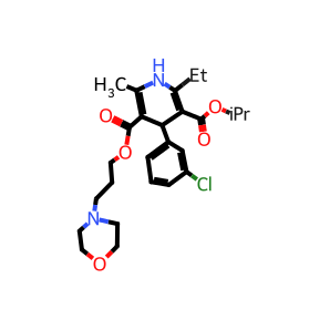 CCC1=C(C(=O)OC(C)C)C(c2cccc(Cl)c2)C(C(=O)OCCCN2CCOCC2)=C(C)N1